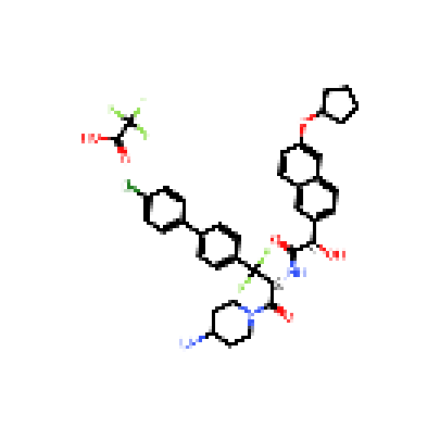 NC1CCN(C(=O)[C@@H](NC(=O)[C@H](O)c2ccc3cc(OC4CCCC4)ccc3c2)C(F)(F)c2ccc(-c3ccc(Cl)cc3)cc2)CC1.O=C(O)C(F)(F)F